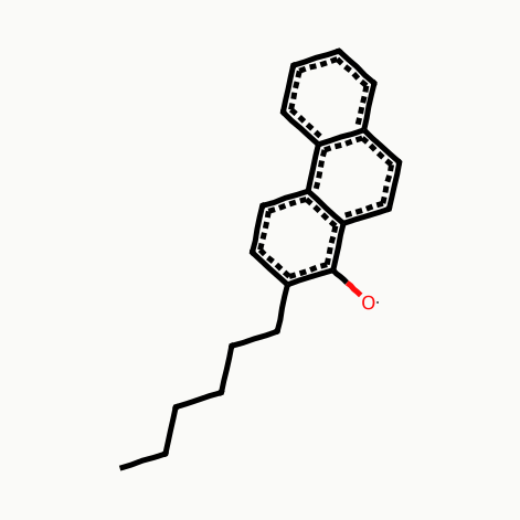 CCCCCCc1ccc2c(ccc3ccccc32)c1[O]